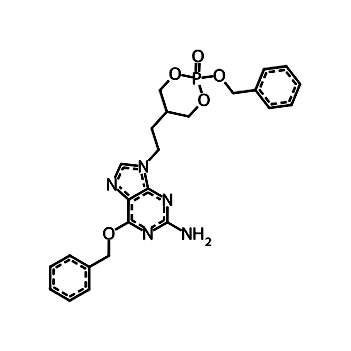 Nc1nc(OCc2ccccc2)c2ncn(CCC3COP(=O)(OCc4ccccc4)OC3)c2n1